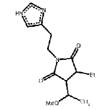 CCC1C(=O)N(CCc2c[nH]cn2)C(=O)C1C(C)OC